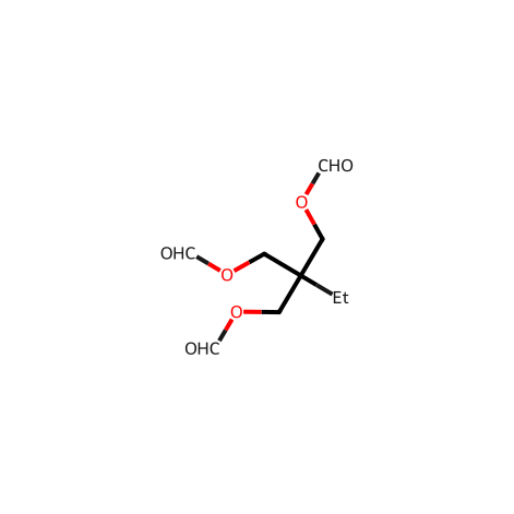 CCC(COC=O)(COC=O)COC=O